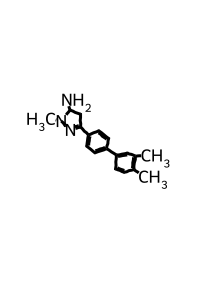 Cc1ccc(-c2ccc(C3=NN(C)C(N)C3)cc2)cc1C